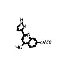 COc1ccc2c(O)cc(-c3cc[nH]n3)nc2c1